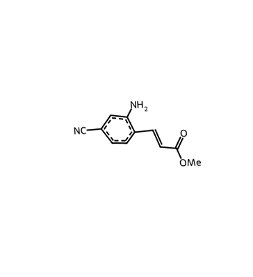 COC(=O)C=Cc1ccc(C#N)cc1N